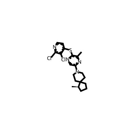 Cc1nc(N2CCC3(CCC[C@H]3C)CC2)cnc1Sc1ccnc(Cl)c1Cl